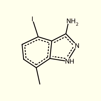 Cc1ccc(I)c2c(N)n[nH]c12